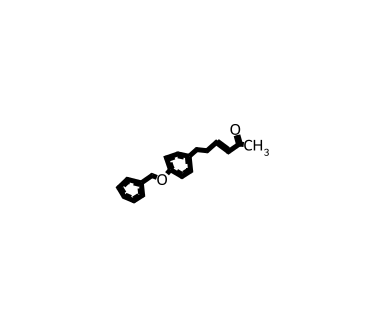 CC(=O)/C=C/CCc1ccc(OCc2ccccc2)cc1